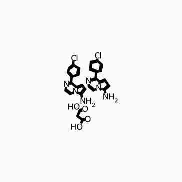 Nc1ccc2c(-c3ccc(Cl)cc3)nccn12.Nc1ccc2c(-c3ccc(Cl)cc3)nccn12.O=C(O)CC(=O)O